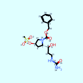 CS(=O)(=O)O[C@@H]1C[C@@H](C(O)CCNC(N)=O)N(C(=O)OCc2ccccc2)C1